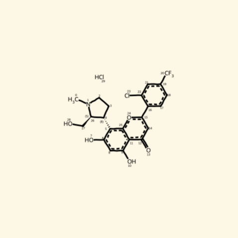 CN1CC[C@H](c2c(O)cc(O)c3c(=O)cc(-c4ccc(C(F)(F)F)cc4Cl)oc23)[C@H]1CO.Cl